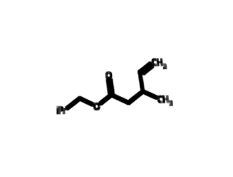 C=CC(C)CC(=O)OCC(C)C